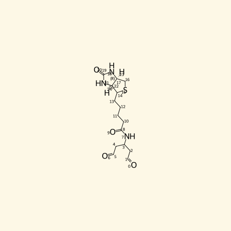 O=CCC(CC=O)NC(=O)CCCCC1SC[C@@H]2NC(=O)N[C@H]12